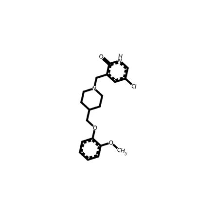 COc1ccccc1OCC1CCN(Cc2cc(Cl)c[nH]c2=O)CC1